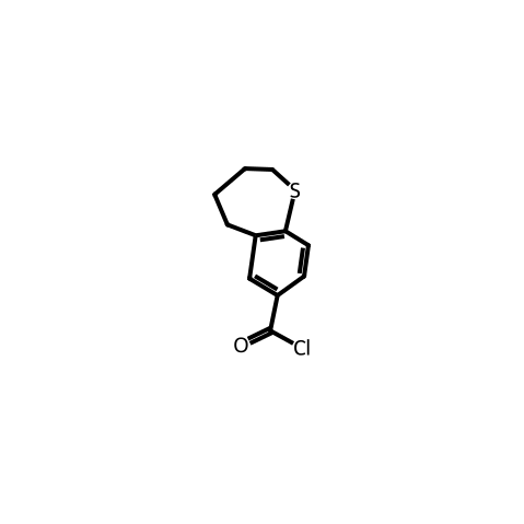 O=C(Cl)c1ccc2c(c1)CCCCS2